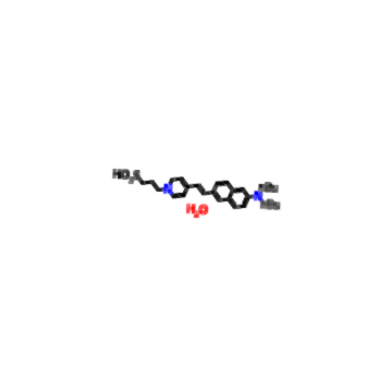 CCCCN(CCCC)c1ccc2cc(C=CC3=CCN(CCCS(=O)(=O)O)C=C3)ccc2c1.O